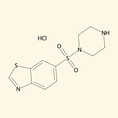 Cl.O=S(=O)(c1ccc2ncsc2c1)N1CCNCC1